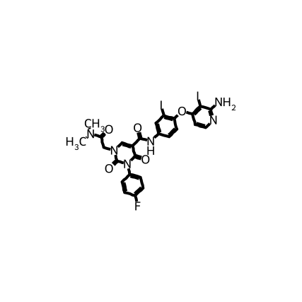 CN(C)C(=O)Cn1cc(C(=O)Nc2ccc(Oc3ccnc(N)c3I)c(I)c2)c(=O)n(-c2ccc(F)cc2)c1=O